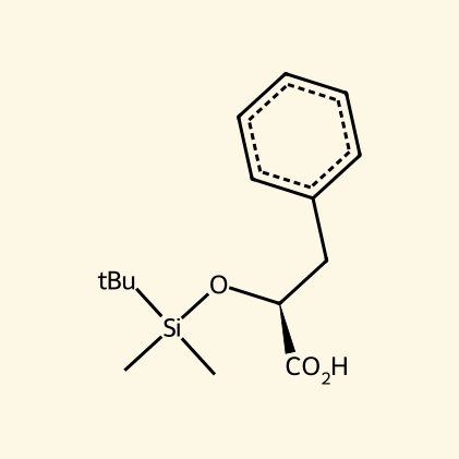 CC(C)(C)[Si](C)(C)O[C@@H](Cc1ccccc1)C(=O)O